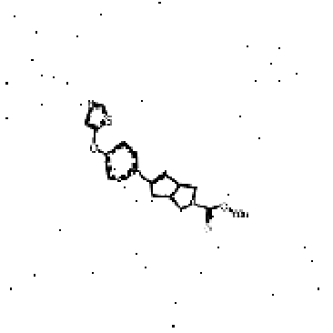 CC(C)(C)OC(=O)N1CC2C=C(c3ccc(Oc4cncs4)cc3)CC2C1